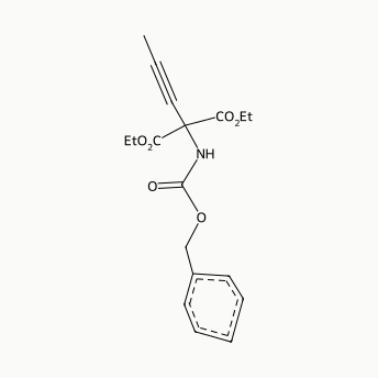 CC#CC(NC(=O)OCc1ccccc1)(C(=O)OCC)C(=O)OCC